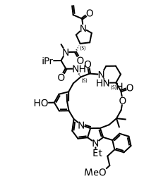 C=CC(=O)N1CC[C@H](C(=O)N(C)C(C(=O)N[C@H]2Cc3cc(O)cc(c3)-c3ccc4c(n3)c(c(-c3ccccc3CCOC)n4CC)CC(C)(C)COC(=O)[C@@H]3CCCN(N3)C2=O)C(C)C)C1